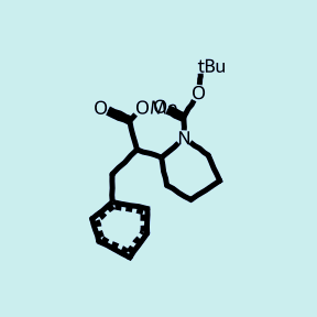 COC(=O)C(Cc1ccccc1)C1CCCCN1C(=O)OC(C)(C)C